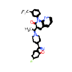 CC(c1cc2cccnc2n(-c2cccc(C(F)(F)F)c2)c1=O)N1CCC(c2noc3cc(F)ccc23)CC1